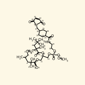 CCC(C)CC(C)(C)C(=O)OCC(COP(=O)(OCCNC(=O)C1CCC(CN2C(=O)C=CC2=O)CC1)OOC)OC(=O)C(C)(C)CC(C)(C)C